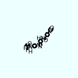 O=C(Nc1ccc2c(cnn2-c2ccc(NC(=O)C3(C(F)(F)F)CC3)cc2)c1)c1ccc(N2CCOCC2)cc1